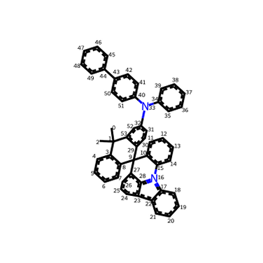 CC1(C)c2ccccc2C2(c3ccccc3-n3c4ccccc4c4cccc2c43)c2ccc(N(c3ccccc3)c3ccc(-c4ccccc4)cc3)cc21